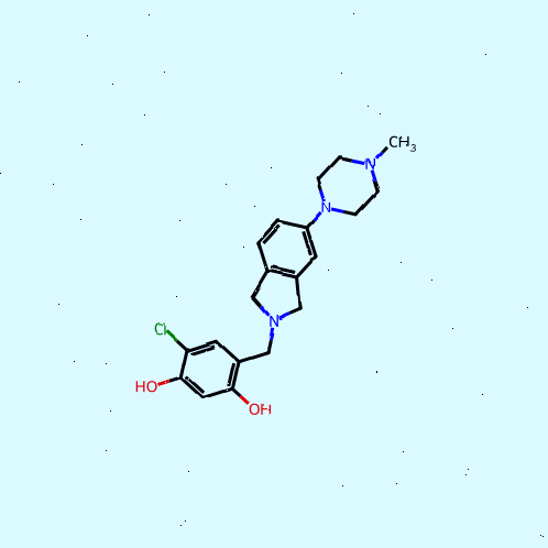 CN1CCN(c2ccc3c(c2)CN(Cc2cc(Cl)c(O)cc2O)C3)CC1